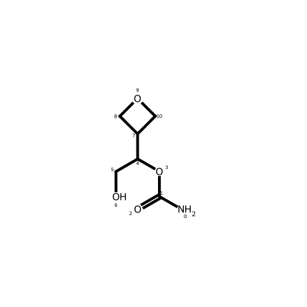 NC(=O)OC(CO)C1COC1